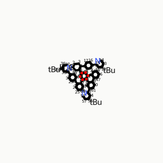 CC1C=CC(c2ccc(-c3cc(C(C)(C)C)ccn3)cc2)=C(c2cc(-c3ccccc3-c3ccc(-c4cc(C(C)(C)C)ccn4)cc3)cc(-c3ccccc3-c3ccc(-c4cc(C(C)(C)C)ccn4)cc3-c3ccccc3)c2)C1